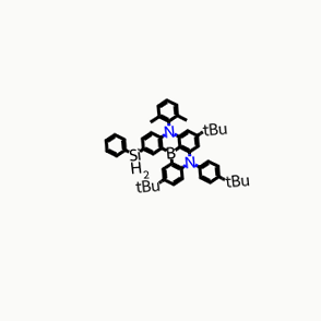 Cc1cccc(C)c1N1c2ccc([SiH2]c3ccccc3)cc2B2c3cc(C(C)(C)C)ccc3N(c3ccc(C(C)(C)C)cc3)c3cc(C(C)(C)C)cc1c32